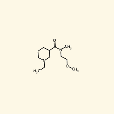 CCN1CCCC(C(=O)N(C)CCOC)C1